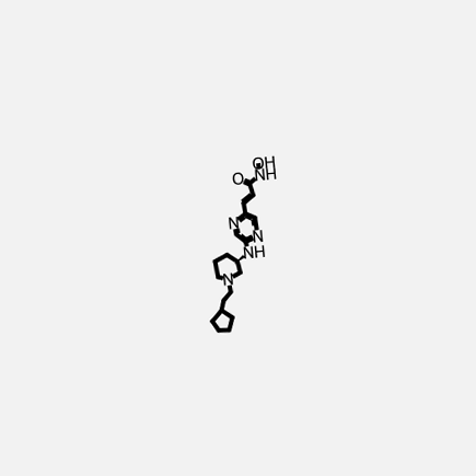 O=C(/C=C/c1cnc(N[C@@H]2CCCN(CCC3CCCC3)C2)cn1)NO